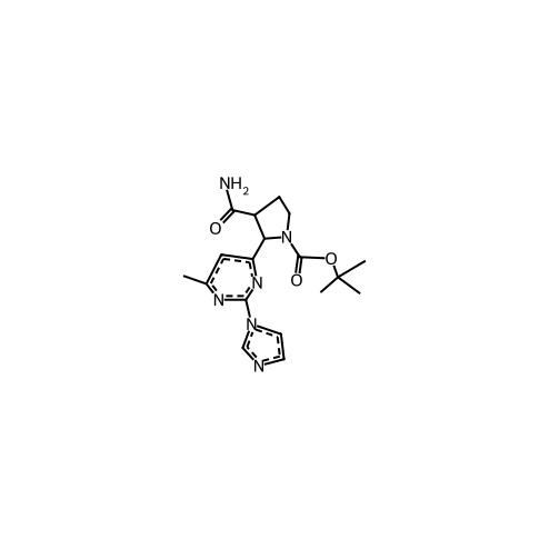 Cc1cc(C2C(C(N)=O)CCN2C(=O)OC(C)(C)C)nc(-n2ccnc2)n1